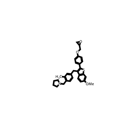 COc1ccc2c(Cc3ccc(CN4CCCC4)c(C)c3)c(-c3ccc(OCC4CO4)cc3)sc2c1